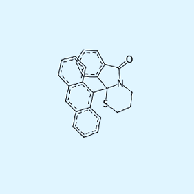 O=C1c2ccccc2C2(c3c4ccccc4cc4ccccc34)SCCCN12